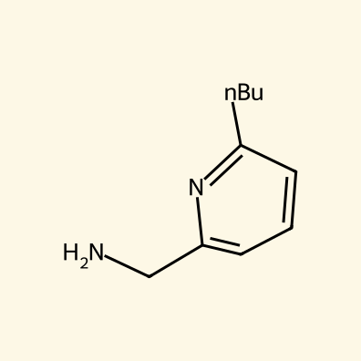 CCCCc1cccc(CN)n1